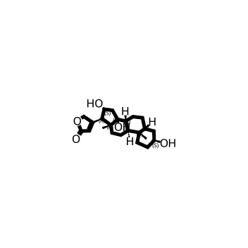 C[C@]12CC[C@H](O)C[C@H]1CC[C@@H]1[C@@H]2CC[C@]2(C)[C@@H](C3=CC(=O)OC3)[C@@H](O)C[C@]12O